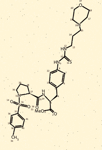 COC(=O)[C@H](Cc1ccc(NC(=S)NCCCN2CCOCC2)cc1)NC(=O)[C@@H]1CCCN1S(=O)(=O)c1ccc(C)cc1